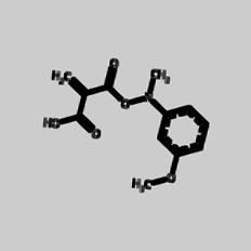 C=C(C(=O)O)C(=O)ON(C)c1cccc(OC)c1